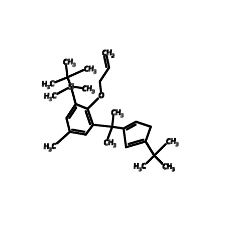 C=CCOc1c(C(C)(C)C2=CCC(C(C)(C)C)=C2)cc(C)cc1[Si](C)(C)C(C)(C)C